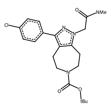 CNC(=O)Cn1nc(-c2ccc(Cl)cc2)c2c1CCN(C(=O)OC(C)(C)C)CC2